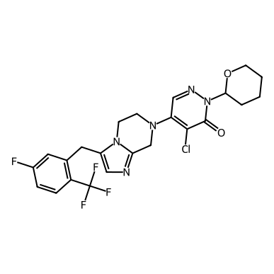 O=c1c(Cl)c(N2CCn3c(Cc4cc(F)ccc4C(F)(F)F)cnc3C2)cnn1C1CCCCO1